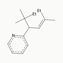 CC/C(C)=C\C(c1ccccn1)C(C)(C)CC